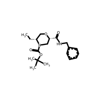 CC[C@@H]1CO[C@H](C(=O)NCc2ccccc2)CN1C(=O)OC(C)(C)C